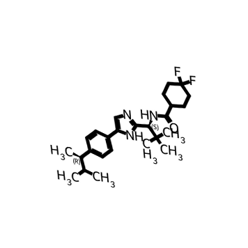 CC(C)[C@@H](C)c1ccc(-c2cnc([C@@H](NC(=O)C3CCC(F)(F)CC3)C(C)(C)C)[nH]2)cc1